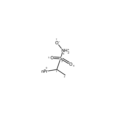 CCCC(C)S(=O)(=O)[NH2+][O-]